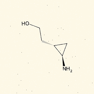 N[C@@H]1C[C@H]1CCO